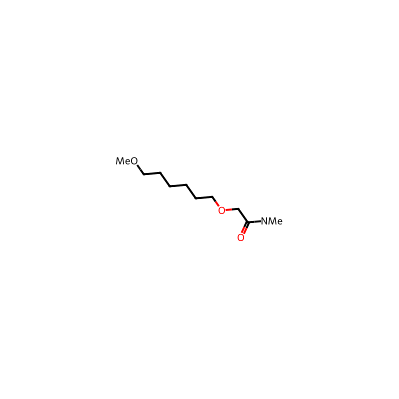 CNC(=O)COCCCCCCOC